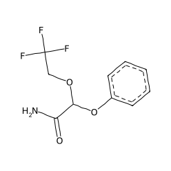 NC(=O)C(OCC(F)(F)F)Oc1ccccc1